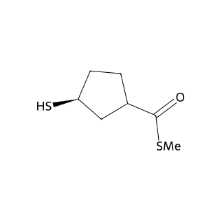 CSC(=O)C1CC[C@H](S)C1